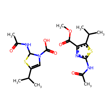 CC(=O)NC1SC(C(C)C)=CN1C(=O)O.COC(=O)c1nc(NC(C)=O)sc1C(C)C